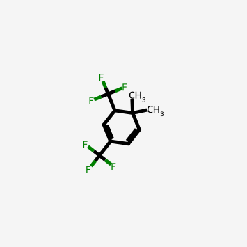 CC1(C)C=CC(C(F)(F)F)=CC1C(F)(F)F